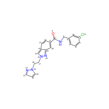 O=C(NCc1cccc(Cl)c1)c1ccc2cn(CCn3cccn3)nc2c1